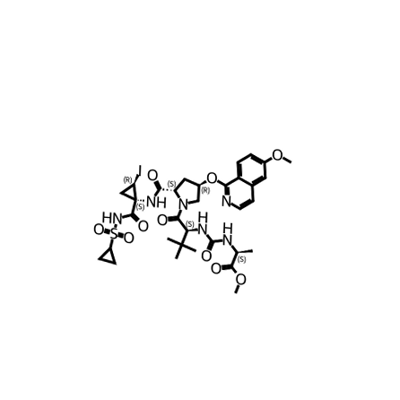 COC(=O)[C@H](C)NC(=O)N[C@H](C(=O)N1C[C@H](Oc2nccc3cc(OC)ccc23)C[C@H]1C(=O)N[C@]1(C(=O)NS(=O)(=O)C2CC2)C[C@H]1I)C(C)(C)C